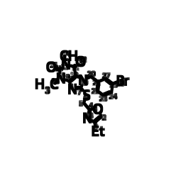 CCc1coc(CSc2nc3c(c(=O)n(C)c(=O)n3C)n2Cc2cccc(Br)c2)n1